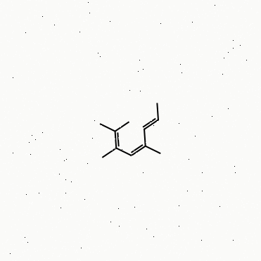 C/C=C/C(C)=C\C(C)=C(C)C